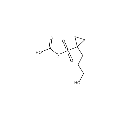 O=C(O)NS(=O)(=O)C1(CCCO)CC1